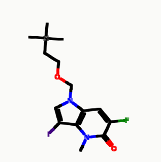 Cn1c(=O)c(F)cc2c1c(I)cn2COCC[Si](C)(C)C